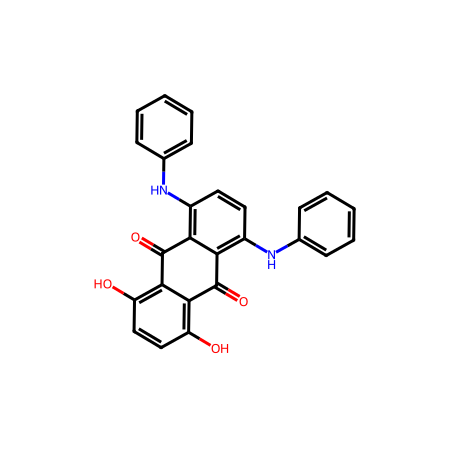 O=C1c2c(O)ccc(O)c2C(=O)c2c(Nc3ccccc3)ccc(Nc3ccccc3)c21